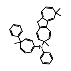 CC1(C)C=CC=C2CC3=C(C=CC(C)(N(C4=CC=CC(C)(c5ccccc5)C=C4)c4ccccc4)C=C3)C2=C1